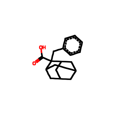 O=C(O)C1(Cc2ccccc2)C2CC3CC(C2)CC1C3